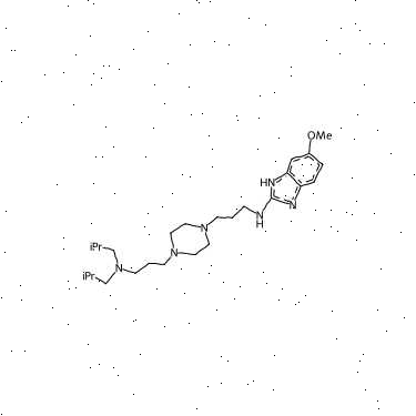 COc1ccc2nc(NCCCN3CCN(CCCN(CC(C)C)CC(C)C)CC3)[nH]c2c1